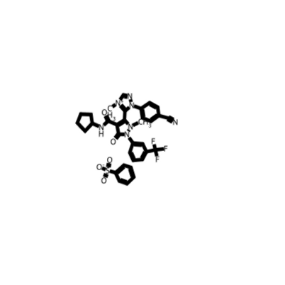 Cn1c(-c2n(-c3ccc(C#N)cc3)nc[n+]2C)c(C(=O)NC2CCCC2)c(=O)n1-c1cccc(C(F)(F)F)c1.O=S(=O)([O-])c1ccccc1